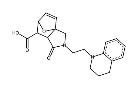 O=C(O)C1C2C=CC3(CN(CCN4CCCc5ccccc54)C(=O)C13)O2